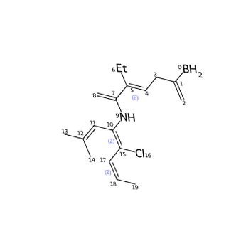 BC(=C)C/C=C(\CC)C(=C)N/C(C=C(C)C)=C(Cl)/C=C\C